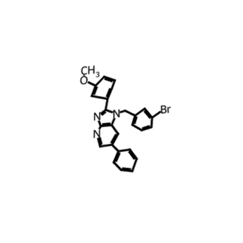 COc1cccc(-c2nc3ncc(-c4ccccc4)cc3n2Cc2cccc(Br)c2)c1